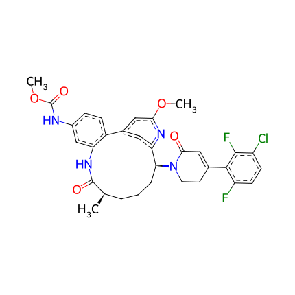 COC(=O)Nc1ccc2c(c1)NC(=O)[C@H](C)CCC[C@H](N1CCC(c3c(F)ccc(Cl)c3F)=CC1=O)c1cc-2cc(OC)n1